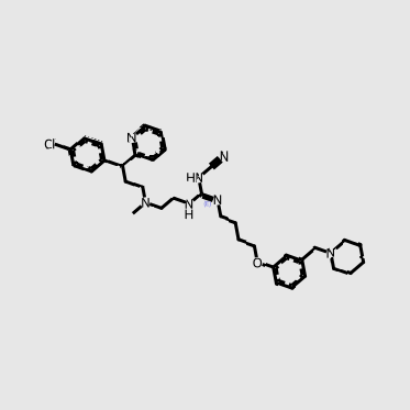 CN(CCN/C(=N\CCCCOc1cccc(CN2CCCCC2)c1)NC#N)CCC(c1ccc(Cl)cc1)c1ccccn1